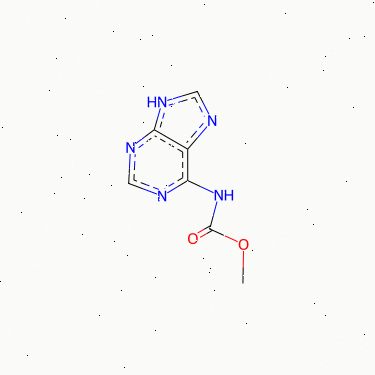 COC(=O)Nc1ncnc2[nH]cnc12